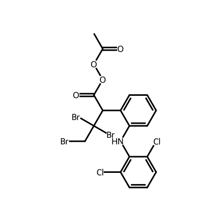 CC(=O)OOC(=O)C(c1ccccc1Nc1c(Cl)cccc1Cl)C(Br)(Br)CBr